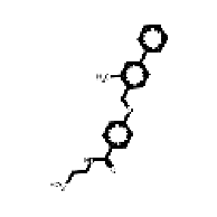 Cc1cc(-c2ccccc2)ccc1COc1ccc(C(=O)NCCC(=O)O)cc1